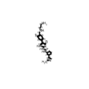 Cc1ncc(-c2cccc(NC(=O)Nc3nc(=O)c(-c4ccc(CNCCCN)c(F)c4)c[nH]3)c2)s1